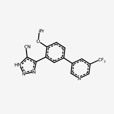 CC(C)Oc1ccc(-c2cncc(C(F)(F)F)c2)cc1-c1nn[nH]c1C#N